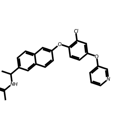 CC(=O)NC(C)c1ccc2cc(Oc3ccc(Oc4cccnc4)cc3Cl)ccc2c1